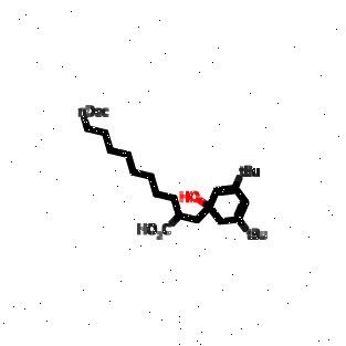 CCCCCCCCCCCCCCCCCCC(CC1(O)C=C(C(C)(C)C)C=C(C(C)(C)C)C1)C(=O)O